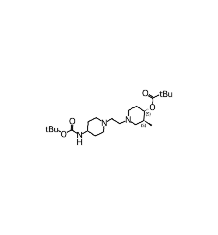 C[C@H]1CN(CCN2CCC(NC(=O)OC(C)(C)C)CC2)CC[C@@H]1OC(=O)C(C)(C)C